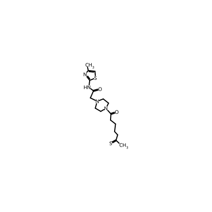 CC(=S)CCCCC(=O)N1CCN(CC(=O)Nc2nc(C)cs2)CC1